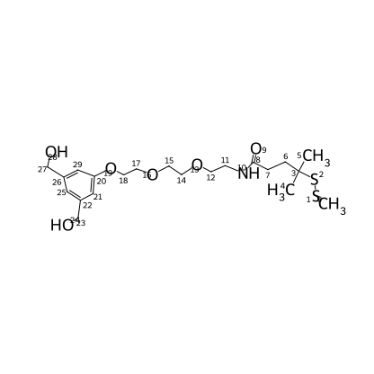 CSSC(C)(C)CCC(=O)NCCOCCOCCOc1cc(CO)cc(CO)c1